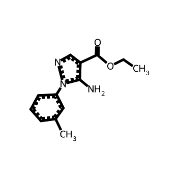 CCOC(=O)c1cnn(-c2cccc(C)c2)c1N